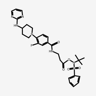 CC(C)(C)N(OC(=O)CCNC(=O)c1ccc(N2CCC(Nc3ncccn3)CC2)c(F)c1)S(=O)(=O)c1ccccc1